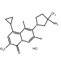 Cc1c(N2CCC(N)(C(F)(F)F)C2)c(F)cn2c(=O)c(C(=O)O)cc(C3CC3)c12.Cl